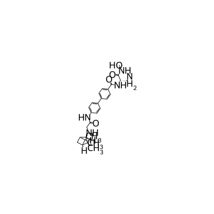 C[C@@H]1C(NCC(=O)Nc2ccc(-c3ccc(C(=O)N[C@@H](CN)C(=O)NO)cc3)cc2)C2C[C@@H]1C2(C)C